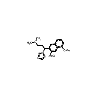 COc1cc2c(OC)cccc2cc1C(CCN(C)C)n1ncnn1